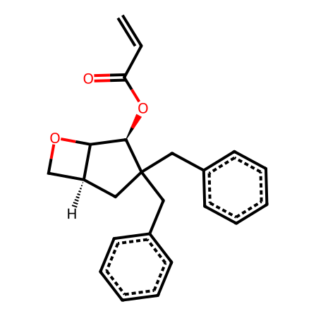 C=CC(=O)O[C@@H]1C2OC[C@@H]2CC1(Cc1ccccc1)Cc1ccccc1